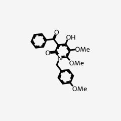 COc1ccc(Cn2c(OC)c(OC)c(O)c(C(=O)c3ccccc3)c2=O)cc1